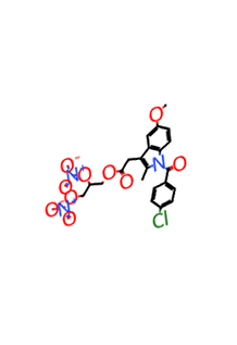 COc1ccc2c(c1)c(CC(=O)OCC(CO[N+](=O)[O-])O[N+](=O)[O-])c(C)n2C(=O)c1ccc(Cl)cc1